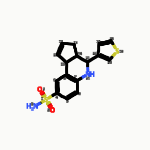 NS(=O)(=O)c1ccc2c(c1)C1C=CCC1C(c1ccsc1)N2